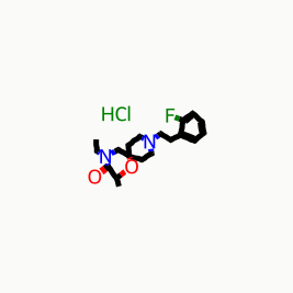 CCN1CC2(CCN(CCc3ccccc3F)CC2)OC(C)C1=O.Cl